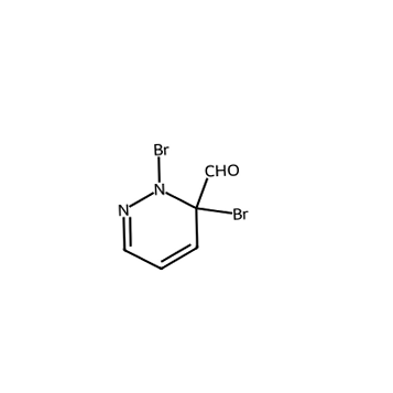 O=CC1(Br)C=CC=NN1Br